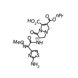 CCCOC(=O)C1=C(C(=O)O)N2C(=O)[C@@H](NC(=O)/C(=N\OC)c3csc(N)n3)CN2C1